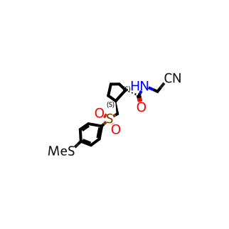 CSc1ccc(S(=O)(=O)C[C@H]2CCC[C@@H]2C(=O)NCC#N)cc1